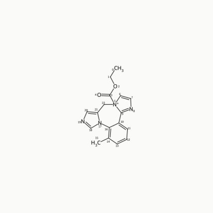 CCOC(=O)[N+]12C=CN=C1c1cccc(C)c1-n1cncc1C2